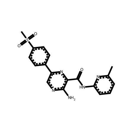 Cc1cccc(NC(=O)c2nc(-c3ccc(S(C)(=O)=O)cc3)cnc2N)n1